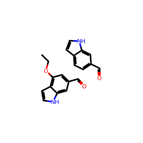 CCOc1cc(C=O)cc2[nH]ccc12.O=Cc1ccc2cc[nH]c2c1